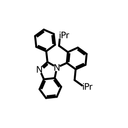 CC(C)Cc1cccc(CC(C)C)c1-n1c(-c2ccccc2)nc2ccccc21